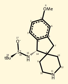 COc1ccc2c(c1)CC1(CCNCC1)[C@@H]2N[S@+]([O-])C(C)(C)C